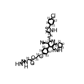 N#Cc1c(SCC2=CSC(c3ccc(Cl)cc3)N2)nc(N2CCCC2)c(C=N)c1-c1ccc(OCCOC(=O)CNN=N)cc1